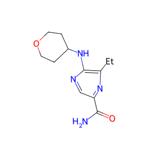 CCc1nc(C(N)=O)cnc1NC1CCOCC1